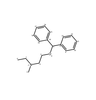 CCN(C)CCOC(c1ccccc1)c1ccccc1